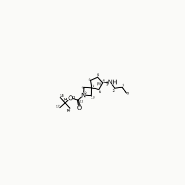 CCCN[C@@H]1CCC2(C1)CN(C(=O)OC(C)(C)C)C2